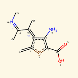 C=c1sc(C(=O)O)c(N)/c1=C(C)/C(C)=N\C